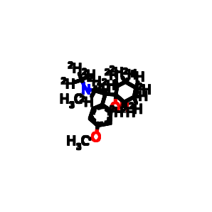 [2H]C([2H])([2H])N(C)C([2H])([2H])C([2H])(c1ccc(OC)cc1)C1(O)C([2H])([2H])C([2H])([2H])C([2H])([2H])C([2H])([2H])C1([2H])[2H]